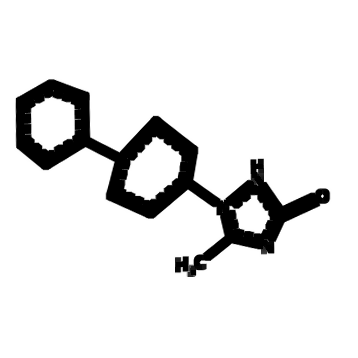 Cc1nc(=O)[nH]n1-c1ccc(-c2ccccc2)cc1